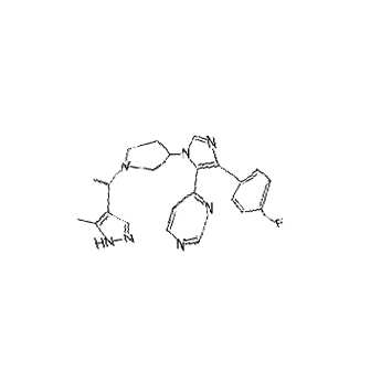 Cc1[nH]ncc1C(C)N1CCC(n2cnc(-c3ccc(F)cc3)c2-c2ccncn2)C1